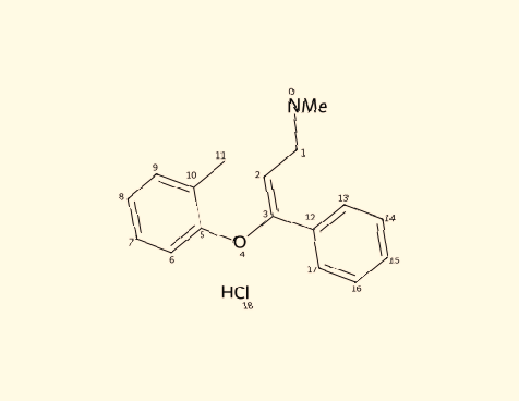 CNCC=C(Oc1ccccc1C)c1ccccc1.Cl